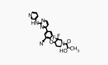 C[C@@H](O)C(=O)N1CCC(Oc2ccc(-c3ccnc(Nc4cccnc4)n3)cc2C#N)C(F)(F)C1